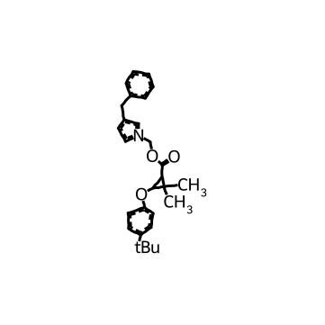 CC(C)(C)c1ccc(OC2C(C(=O)OCn3ccc(Cc4ccccc4)c3)C2(C)C)cc1